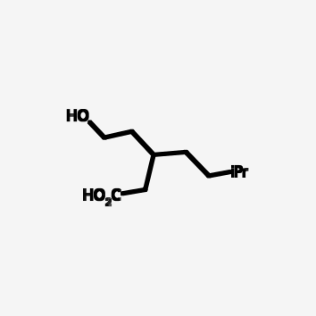 CC(C)CCC(CCO)CC(=O)O